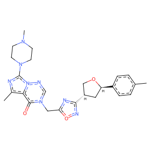 Cc1ccc([C@H]2C[C@H](c3noc(Cn4cnn5c(N6CCN(C)CC6)nc(C)c5c4=O)n3)CO2)cc1